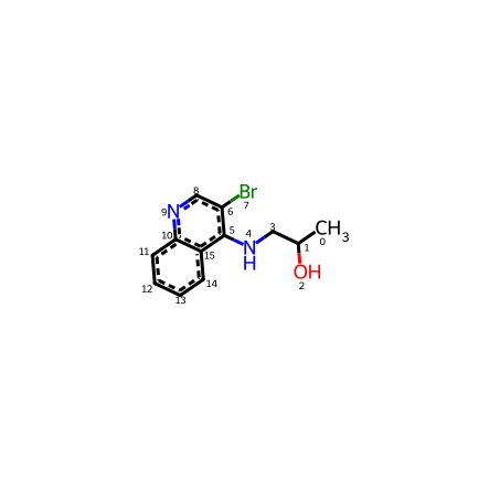 CC(O)CNc1c(Br)cnc2ccccc12